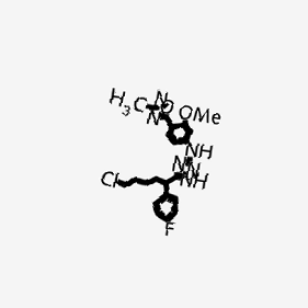 COc1cc(Nc2n[nH]c(C(CCCCCl)c3ccc(F)cc3)n2)ccc1-c1nc(C)no1